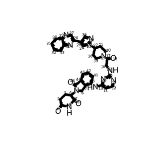 O=C1CCC(N2Cc3c(Nc4ccnc(NCC(=O)N5CCC(n6cc(-c7cnc8ccccc8n7)cn6)CC5)n4)cccc3C2=O)C(=O)N1